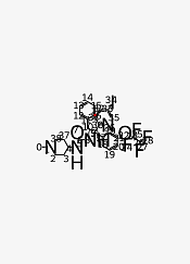 CN1CCC(NC(=O)N[C@@](Cc2ccccc2)(c2cccc(OC(F)(F)C(F)F)c2)c2ccc(I)cn2)CC1